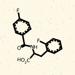 O=C(NC(Cc1ccccc1F)C(=O)O)c1ccc(F)cc1